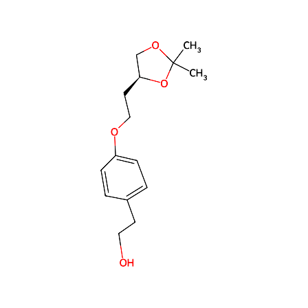 CC1(C)OC[C@H](CCOc2ccc(CCO)cc2)O1